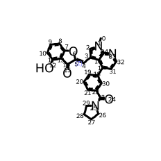 Cn1cc(/C=C2\Oc3cccc(O)c3C2=O)c2c(-c3cccc(C(=O)N4CCCC4)c3)ccnc21